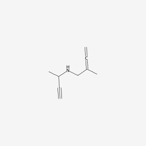 C#CC(C)NCC(C)=C=C